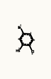 Sc1cc(Br)ccc1Cl